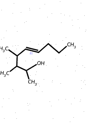 CCC/C=C/C(C)C(C)C(C)O